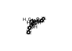 CC(C)CN(CC(O)C(=O)Oc1ccc2c(c1)CCC2)C(=O)N[C@@H](Cc1ccc(-c2ccccc2)cc1)C(=O)O